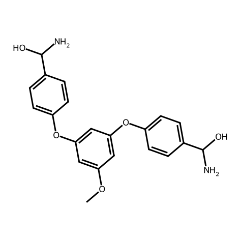 COc1cc(Oc2ccc(C(N)O)cc2)cc(Oc2ccc(C(N)O)cc2)c1